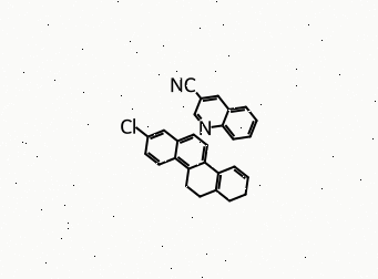 Clc1ccc2c3c(ccc2c1)C1=C(CCC=C1)CC3.N#Cc1cnc2ccccc2c1